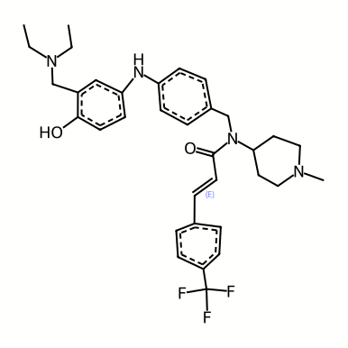 CCN(CC)Cc1cc(Nc2ccc(CN(C(=O)/C=C/c3ccc(C(F)(F)F)cc3)C3CCN(C)CC3)cc2)ccc1O